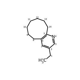 CCc1cnc2c(c1)CCCCCCC2